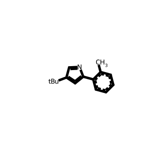 Cc1ccccc1C1=C=C(C(C)(C)C)C=N1